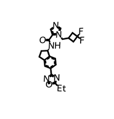 CCc1nc(-c2ccc3c(c2)CC[C@H]3NC(=O)c2cncn2CC2CC(F)(F)C2)no1